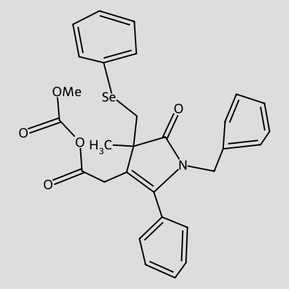 COC(=O)OC(=O)CC1=C(c2ccccc2)N(Cc2ccccc2)C(=O)C1(C)C[Se]c1ccccc1